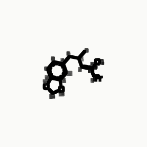 CC(C=[N+]([O-])C(C)C)Cc1ccc2c(c1)OCO2